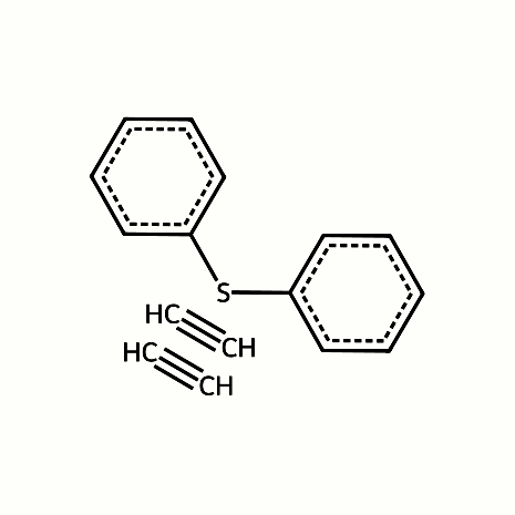 C#C.C#C.c1ccc(Sc2ccccc2)cc1